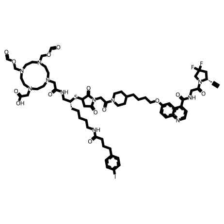 C#C[C@H]1CC(F)(F)CN1C(=O)CNC(=O)c1ccnc2ccc(OCCCCC3CCN(C(=O)CN4C(=O)CC(S[C@H](CCCCCNC(=O)CCCc5ccc(I)cc5)CNC(=O)CN5CCN(COC=O)CCN(COC=O)CCN(CC(=O)O)CC5)C4=O)CC3)cc12